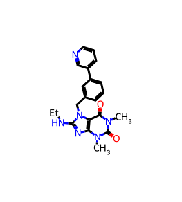 CCNc1nc2c(c(=O)n(C)c(=O)n2C)n1Cc1cccc(-c2cccnc2)c1